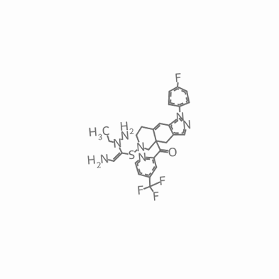 CCN(N)/C(=C\N)SN1CCC2=Cc3c(cnn3-c3ccc(F)cc3)CC2(C(=O)c2cc(C(F)(F)F)ccn2)C1